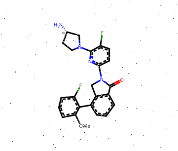 COc1cccc(F)c1-c1cccc2c1CN(c1ccc(F)c(N3CC[C@H](N)C3)n1)C2=O